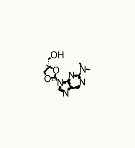 CN(C)c1ncc2ncn([C@H]3OC[C@H](CO)O3)c2n1